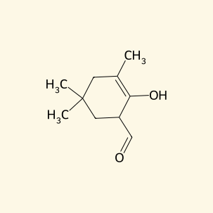 CC1=C(O)C(C=O)CC(C)(C)C1